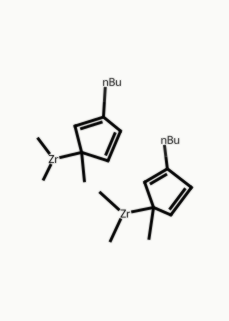 CCCCC1=C[C](C)([Zr]([CH3])[CH3])C=C1.CCCCC1=C[C](C)([Zr]([CH3])[CH3])C=C1